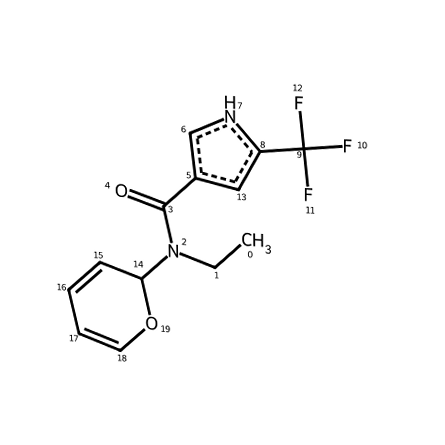 CCN(C(=O)c1c[nH]c(C(F)(F)F)c1)C1C=CC=CO1